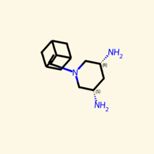 N[C@@H]1C[C@H](N)CN(C2=C3C4CC(C2)CC3C4)C1